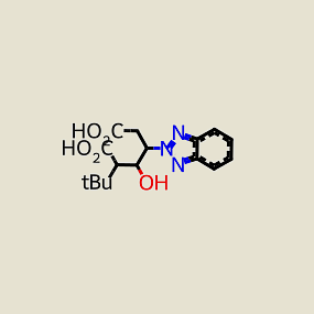 CC(C)(C)C(C(=O)O)C(O)C(CC(=O)O)n1nc2ccccc2n1